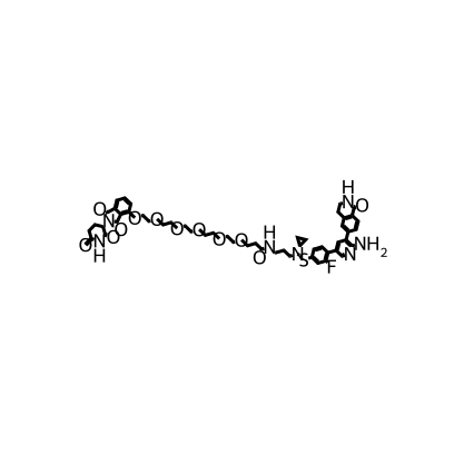 Nc1ncc(-c2ccc(SN(CCCNC(=O)CCOCCOCCOCCOCCOCCOc3cccc4c3C(=O)N(C3CCC(=O)NC3=O)C4=O)C3CC3)cc2F)cc1-c1ccc2c(c1)CCNC2=O